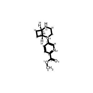 COC(=O)c1ccc(N2CCN[C@H]3CC[C@H]32)cn1